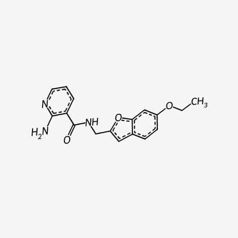 CCOc1ccc2cc(CNC(=O)c3cccnc3N)oc2c1